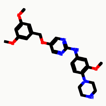 COc1cc(COc2cnc(Nc3ccc(N4CCNCC4)c(OC)c3)nc2)cc(OC)c1